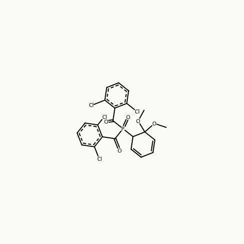 COC1(OC)C=CC=CC1P(=O)(C(=O)c1c(Cl)cccc1Cl)C(=O)c1c(Cl)cccc1Cl